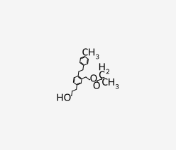 C=C(C)C(=O)OCCc1cc(CCCO)ccc1CCc1ccc(C)cc1